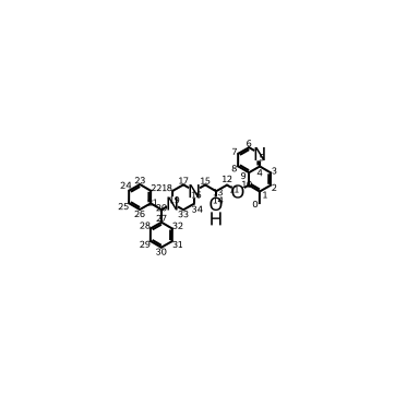 Cc1ccc2ncccc2c1OCC(O)CN1CCN(C(c2ccccc2)c2ccccc2)CC1